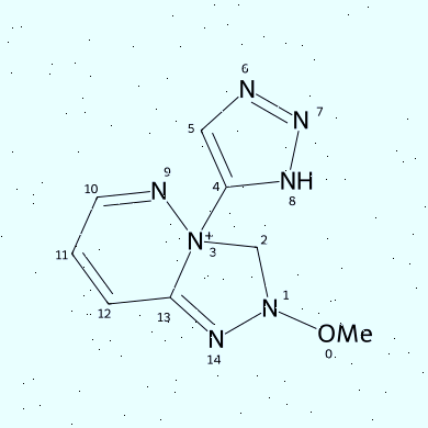 CON1C[N+]2(c3cnn[nH]3)N=CC=CC2=N1